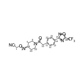 N#CCON=C1CCN(C(=O)Cc2ccc(-c3noc(C(F)(F)F)n3)cc2)CC1